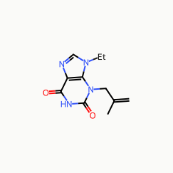 C=C(C)Cn1c(=O)[nH]c(=O)c2ncn(CC)c21